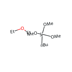 CCCC[Si](OC)(OC)OC.CCOCC